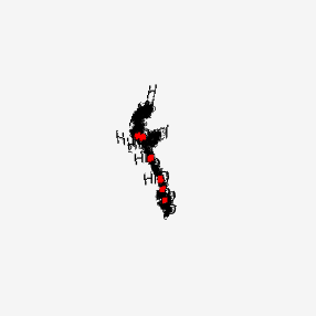 C=CC(=O)N1CCN(c2ccc(CCC(=O)NCCOCCNCC[C@H](NC(=O)C3(N)CCN(c4ncnc5[nH]ccc45)CC3)c3ccc(Cl)cc3)o2)C(=O)C1